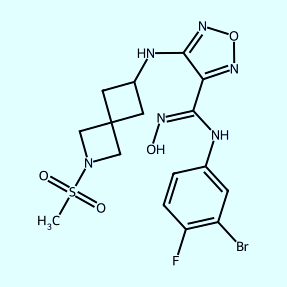 CS(=O)(=O)N1CC2(CC(Nc3nonc3C(=NO)Nc3ccc(F)c(Br)c3)C2)C1